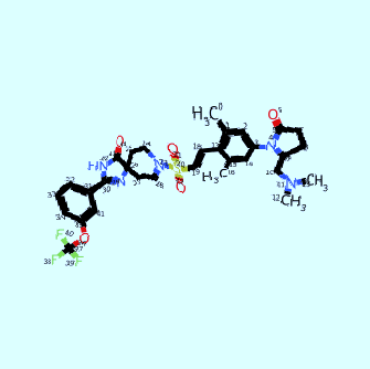 Cc1cc(N2C(=O)CCC2CN(C)C)cc(C)c1C=CS(=O)(=O)N1CCC2(CC1)N=C(c1cccc(OC(F)(F)F)c1)NC2=O